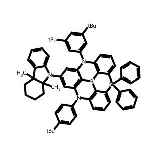 CC(C)(C)c1ccc(N2c3cc(N4c5ccccc5C5(C)CCCCC45C)cc4c3B3c5c2cccc5[Si](c2ccccc2)(c2ccccc2)c2cccc(c23)N4c2cc(C(C)(C)C)cc(C(C)(C)C)c2)cc1